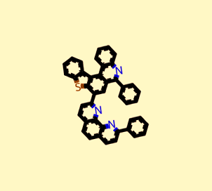 c1ccc(-c2ccc3ccc4ccc(-c5cc6c(-c7ccccc7)nc7ccccc7c6c6c5sc5ccccc56)nc4c3n2)cc1